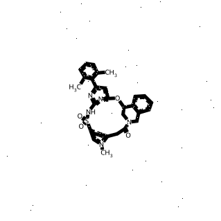 Cc1cccc(C)c1-c1cc2nc(n1)NS(=O)(=O)c1cc(n(C)c1)CC(=O)N1Cc3ccccc3C(C1)O2